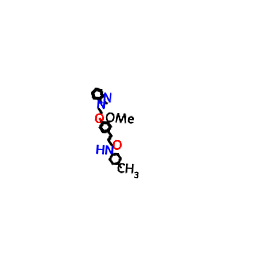 COc1cc(C=CC(=O)N[C@H]2CC[C@H](C)CC2)ccc1OCCn1cnc2ccccc21